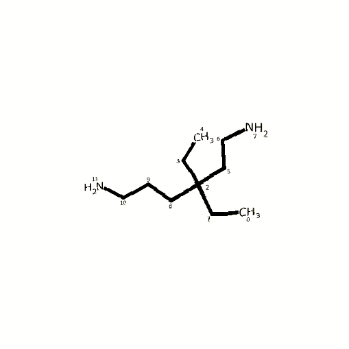 CCC(CC)(CCN)CCCN